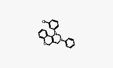 Clc1cccc(N2CN(c3ccccc3)CC3=C2c2ccccc2OC3)c1